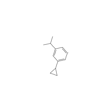 CC(C)c1c[c]cc(C2CC2)c1